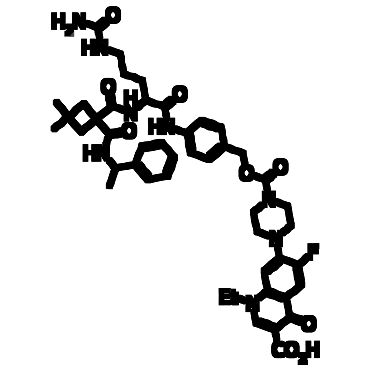 CCn1cc(C(=O)O)c(=O)c2cc(F)c(N3CCN(C(=O)OCc4ccc(NC(=O)C(CCCNC(N)=O)NC(=O)C5(C(=O)NC(C)c6ccccc6)CC(C)(C)C5)cc4)CC3)cc21